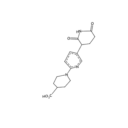 O=C1CCC(c2ccc(N3CCC(C(=O)O)CC3)nc2)C(=O)N1